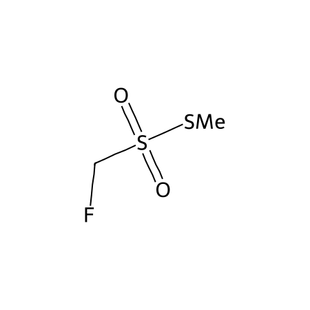 CSS(=O)(=O)CF